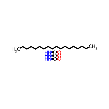 CCCCCCCCCCCCCCCCCC.N=C=O.N=C=O.N=C=O